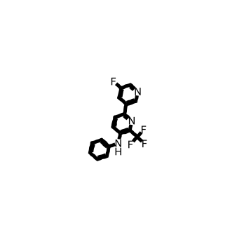 Fc1cncc(-c2ccc(Nc3ccccc3)c(C(F)(F)F)n2)c1